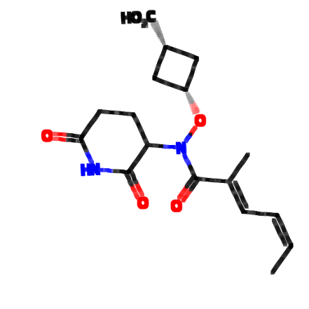 C/C=C\C=C(/C)C(=O)N(O[C@H]1C[C@@H](C(=O)O)C1)C1CCC(=O)NC1=O